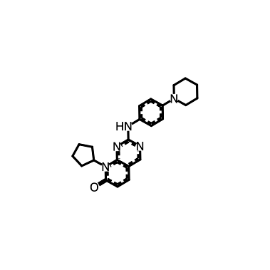 O=c1ccc2cnc(Nc3ccc(N4CCCCC4)cc3)nc2n1C1CCCC1